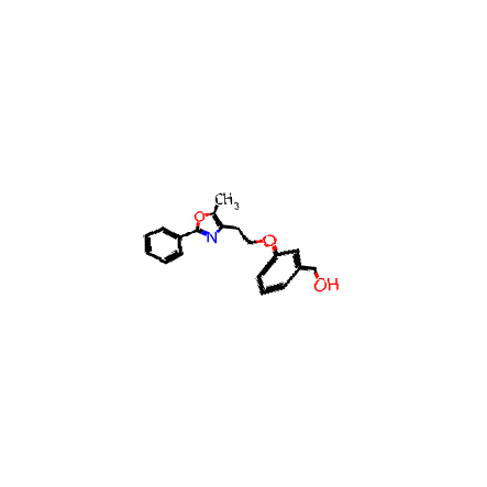 Cc1oc(-c2ccccc2)nc1CCOc1cccc(CO)c1